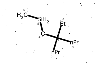 CCCC(CC)(CCC)O[SiH2]C